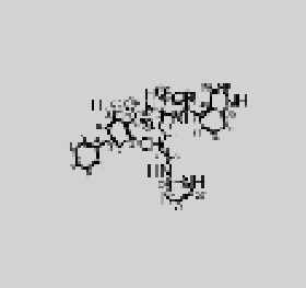 Cc1cc(-c2ccccc2)cc(C)c1S(=O)(=O)NC(CCCCNc1ncc[nH]1)(NC(=O)c1cccc2[nH]ncc12)C(=O)O